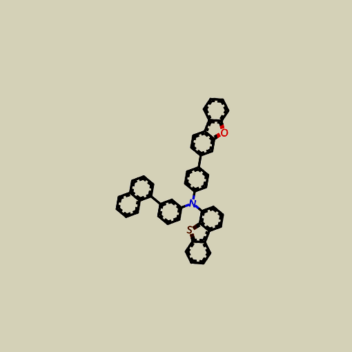 c1cc(-c2cccc3ccccc23)cc(N(c2ccc(-c3ccc4c(c3)oc3ccccc34)cc2)c2cccc3c2sc2ccccc23)c1